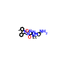 CCn1c(N2CCC[C@@H](N)C2)nc2c1c(=O)n(Cc1nc3cccc(C)c3c3ccccc13)c(=O)n2C